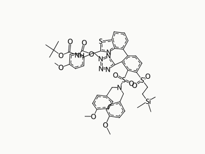 COc1ccc(CN(Cc2ccc(OC)cc2)S(=O)(=O)c2c(S(=O)(=O)CC[Si](C)(C)C)ccc(-c3cccc4sc(OC(=O)NC(=O)OC(C)(C)C)nc34)c2-c2nnn(Cc3ccc(OC)cc3)n2)cc1